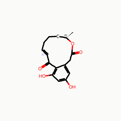 C[C@H]1CCC/C=C/C(=O)c2c(O)cc(O)cc2CC(=O)O1